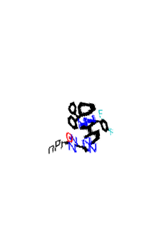 CCCc1nc(-c2cnc3ccc(-c4cn(C(c5ccccc5)(c5ccccc5)c5ccccc5)nc4-c4ccc(F)cc4F)cn23)no1